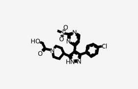 CS(=O)(=O)c1nccc(-c2c(-c3ccc(Cl)cc3)n[nH]c2C2CCN(C(=O)CO)CC2)n1